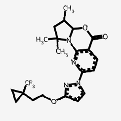 CC1CC(C)(C)N2c3nc(-n4ccc(OCCC5(C(F)(F)F)CC5)n4)ccc3C(=O)OC12